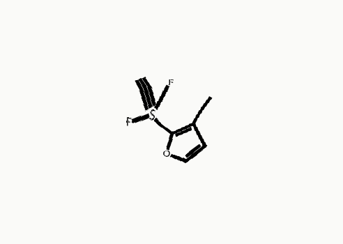 C#S(F)(F)c1occc1C